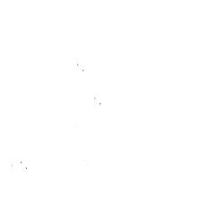 Cc1c(CC#N)c(=O)n(-c2ccccc2)n1C